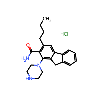 CCCCc1cc2c(c(N3CCNCC3)c1C(N)=O)Cc1ccccc1-2.Cl